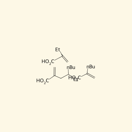 C=C(CC(CC)CCCC)C(=O)O.C=C(CC)C(=O)O.C=C(CCCC)C(=O)O